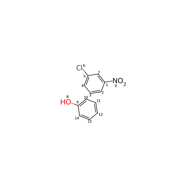 O=[N+]([O-])c1cccc(Cl)c1.Oc1ccccc1